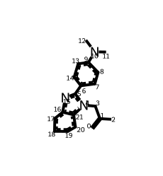 C=C(C)Cn1c(-c2ccc(N(C)C)cc2)nc2ccccc21